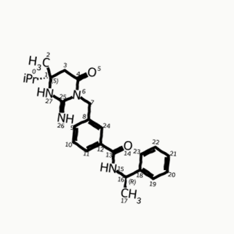 CC(C)[C@]1(C)CC(=O)N(Cc2cccc(C(=O)N[C@H](C)c3ccccc3)c2)C(=N)N1